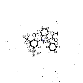 COc1c(/C=N/C(C(=O)O)(c2ccccc2)c2ccccc2)cc(C(C)(C)C)cc1C(C)(C)C